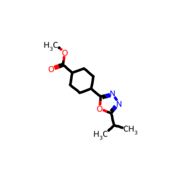 COC(=O)C1CCC(c2nnc(C(C)C)o2)CC1